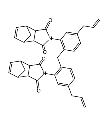 C=CCc1ccc(Cc2ccc(CC=C)cc2N2C(=O)C3C4C=CC(C4)C3C2=O)c(N2C(=O)C3C4C=CC(C4)C3C2=O)c1